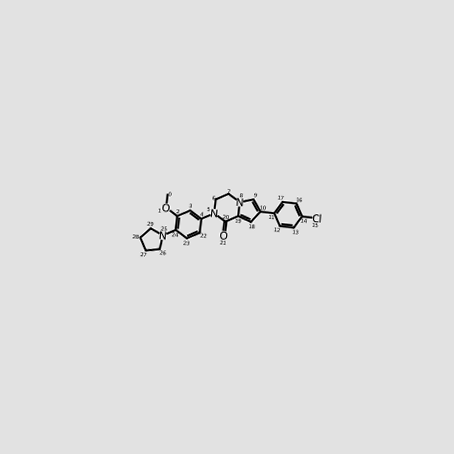 COc1cc(N2CCn3cc(-c4ccc(Cl)cc4)cc3C2=O)ccc1N1CCCC1